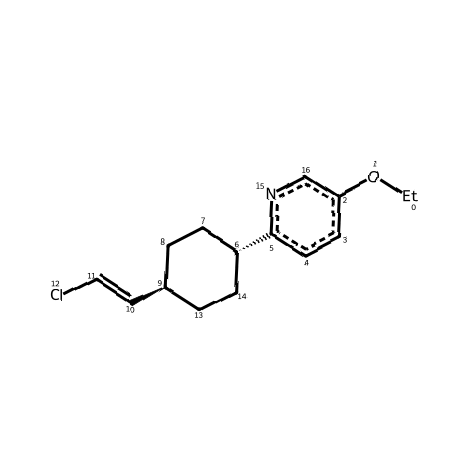 CCOc1ccc([C@H]2CC[C@H](/C=C/Cl)CC2)nc1